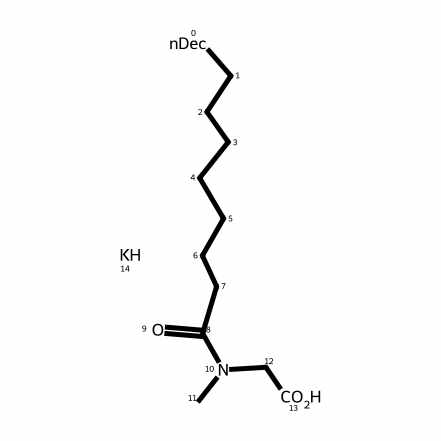 CCCCCCCCCCCCCCCCCC(=O)N(C)CC(=O)O.[KH]